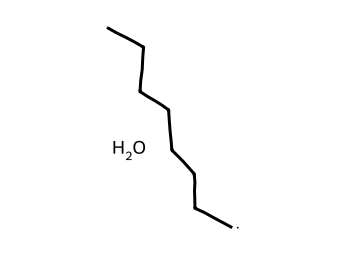 O.[CH2]CCCCCCC